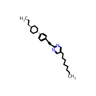 CCCCCCCCc1cnc(C#Cc2ccc([C@H]3CC[C@H](CCC)CC3)cc2)nc1